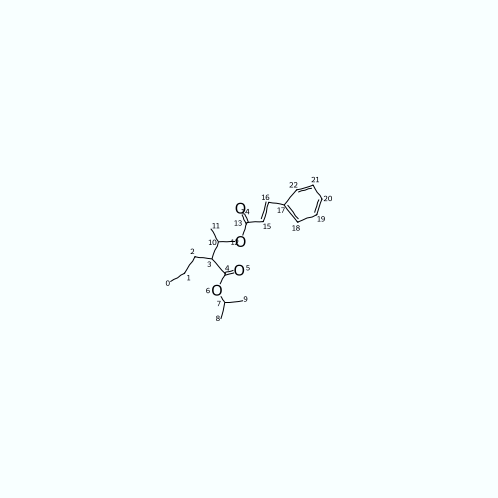 CCCC(C(=O)OC(C)C)C(C)OC(=O)C=Cc1ccccc1